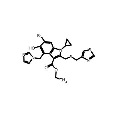 CCOC(=O)c1c(CSCc2cscn2)n(C2CC2)c2cc(Br)c(O)c(Cn3ccnc3)c12